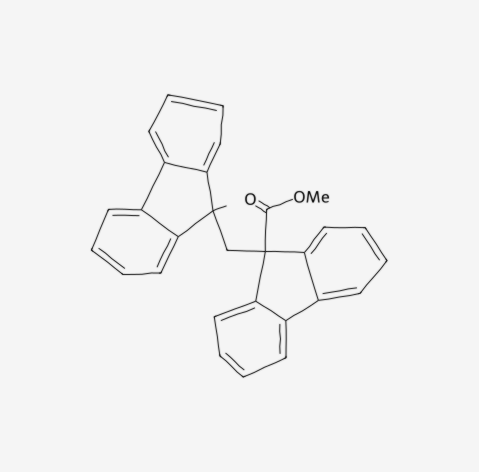 COC(=O)C1(CC2(C)c3ccccc3-c3ccccc32)c2ccccc2-c2ccccc21